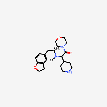 CCN(C(C)Cc1ccc2c(c1)CCO2)C(C(=O)N1CCOCC1)C1CCNCC1